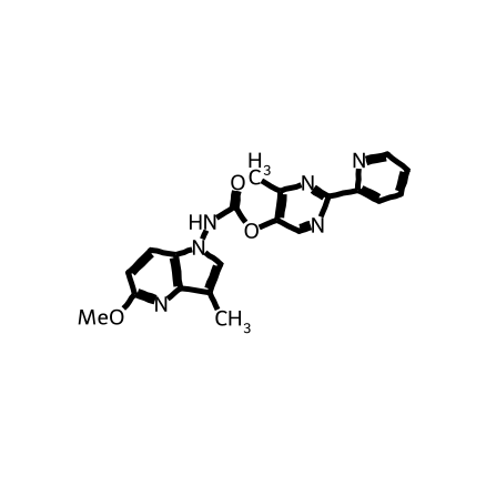 COc1ccc2c(n1)c(C)cn2NC(=O)Oc1cnc(-c2ccccn2)nc1C